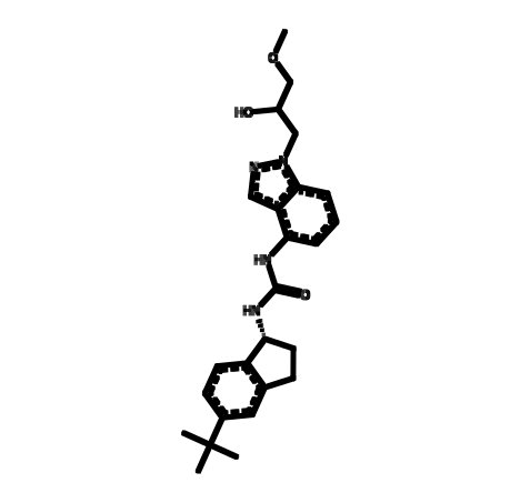 COCC(O)Cn1ncc2c(NC(=O)N[C@@H]3CCc4cc(C(C)(C)C)ccc43)cccc21